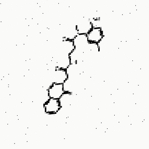 COc1ccc(C)cc1N(C)C(=O)CCNC(=O)Cn1cnc2ccccc2c1=O